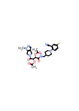 CC(=O)O[C@@H](C(=O)NCC1CCN(c2ccc(F)cc2C#N)CC1)[C@@H](OC(C)=O)C(=O)N1Cc2cnn(C)c2C1